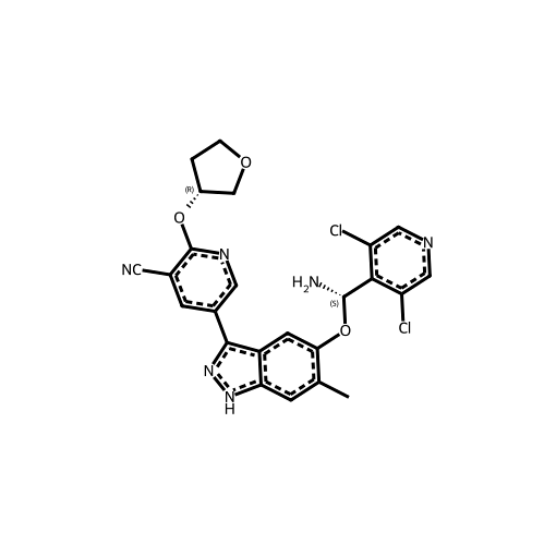 Cc1cc2[nH]nc(-c3cnc(O[C@@H]4CCOC4)c(C#N)c3)c2cc1O[C@H](N)c1c(Cl)cncc1Cl